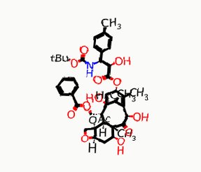 CC(=O)O[C@@]12CO[C@@H]1C[C@H](O)[C@@]1(C)C(=O)[C@H](O)C3=C(C)[C@@H](OC(=O)[C@H](O)[C@@H](NC(=O)OC(C)(C)C)c4ccc(C)cc4)C[C@@](O)([C@@H](COC(=O)c4ccccc4)[C@H]21)C3(C)C